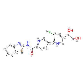 O=C(Nc1nc2ccccc2s1)c1ccc(-c2ncc(C(O)CO)cc2F)cn1